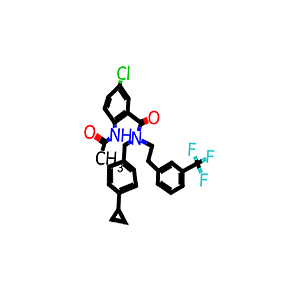 CC(=O)Nc1ccc(Cl)cc1C(=O)N(CCc1cccc(C(F)(F)F)c1)Cc1ccc(C2CC2)cc1